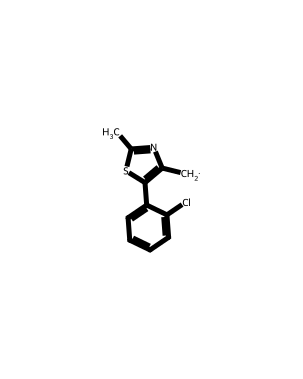 [CH2]c1nc(C)sc1-c1ccccc1Cl